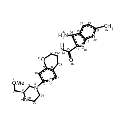 COC[C@H]1CN(c2ccc3c(c2)OC[C@H](NC(=O)c2sc4nc(C)ccc4c2N)C3)CCN1